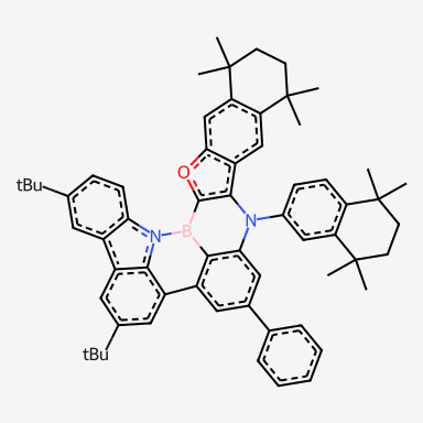 CC(C)(C)c1ccc2c(c1)c1cc(C(C)(C)C)cc3c1n2B1c2oc4cc5c(cc4c2N(c2ccc4c(c2)C(C)(C)CCC4(C)C)c2cc(-c4ccccc4)cc-3c21)C(C)(C)CCC5(C)C